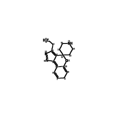 CCC1=C2C(=C3C=CCC=C3OC23CCNCC3)N=N1